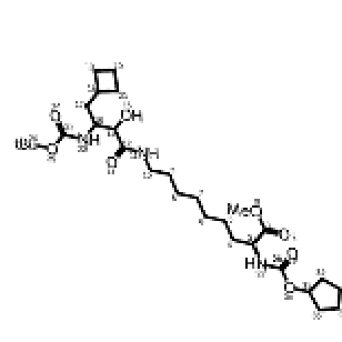 COC(=O)C(CCCCCCCNC(=O)C(O)C(CC1CCC1)NC(=O)OC(C)(C)C)NC(=O)OC1CCCC1